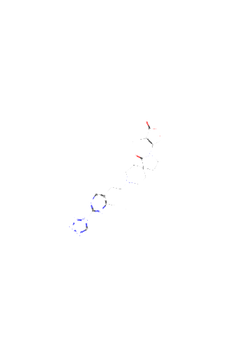 CC1=C(N2CCC3(CCN(CCc4cnc(-n5cnnn5)nc4C)CC3)C2=O)COC1=O